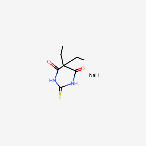 CCC1(CC)C(=O)NC(=S)NC1=O.[NaH]